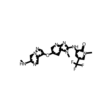 CNc1cn2ncc(Oc3cnc4nc(Nc5cc(C(F)(F)F)cn(C)c5=O)n(C)c4c3)c2cn1